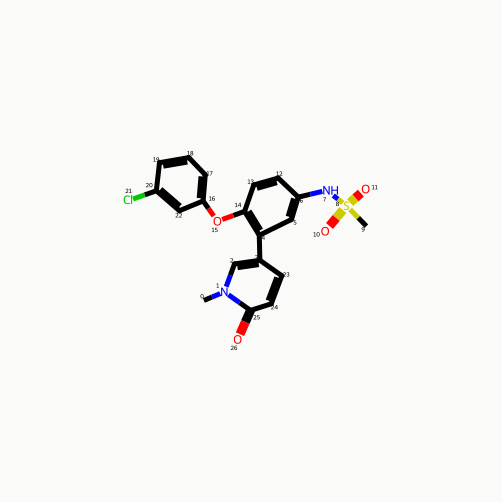 Cn1cc(-c2cc(NS(C)(=O)=O)ccc2Oc2cccc(Cl)c2)ccc1=O